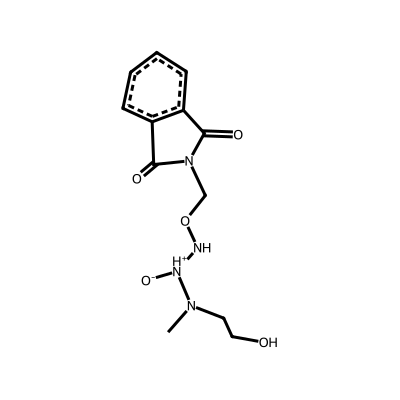 CN(CCO)[NH+]([O-])NOCN1C(=O)c2ccccc2C1=O